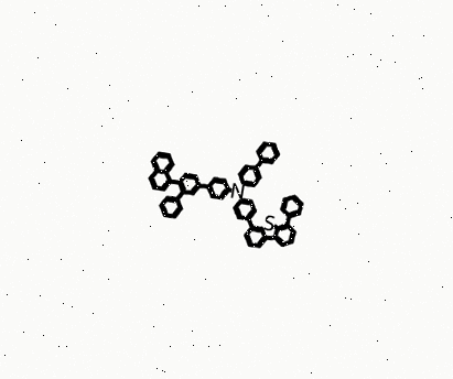 c1ccc(-c2ccc(N(c3ccc(-c4ccc(-c5cccc6ccccc56)c(-c5ccccc5)c4)cc3)c3ccc(-c4cccc5c4sc4c(-c6ccccc6)cccc45)cc3)cc2)cc1